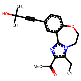 COC(=O)c1nc2n(c1CC#N)CCOc1ccc(C#CC(C)(C)O)cc1-2